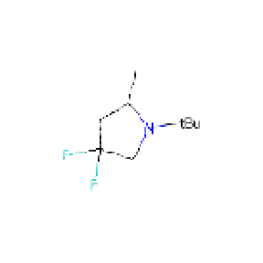 CC1CC(F)(F)CN1C(C)(C)C